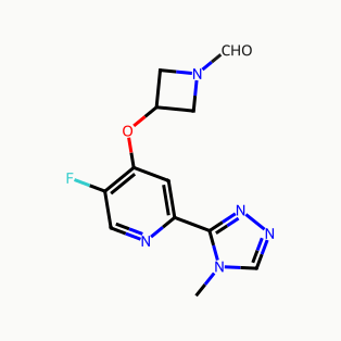 Cn1cnnc1-c1cc(OC2CN(C=O)C2)c(F)cn1